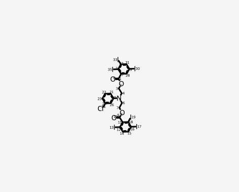 O=C(OCCN(CCOC(=O)c1c(I)ccc(I)c1I)c1cccc(Cl)c1)c1cc(I)cc(I)c1I